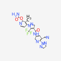 Cc1c(-n2ncc(C(=O)Nc3cnc(-n4nccn4)c(C#N)c3)c2C(F)(F)F)ccnc1OC(N)=O